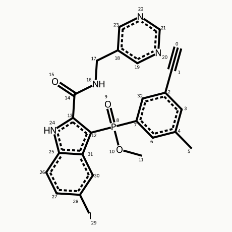 C#Cc1cc(C)cc(P(=O)(OC)c2c(C(=O)NCc3cncnc3)[nH]c3ccc(I)cc23)c1